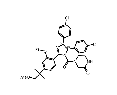 CCOc1cc(C(C)(C)COC)ccc1C1=N[C@@H](c2ccc(Cl)cc2)[C@@H](c2ccc(Cl)cc2)N1C(=O)N1CCNC(=O)C1